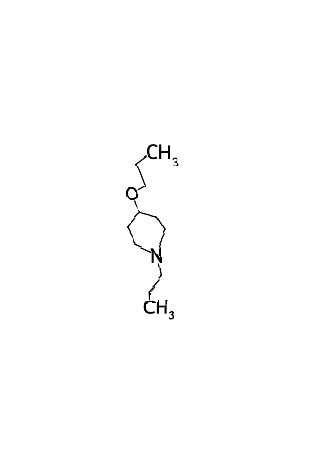 CCCOC1CCN(CCC)CC1